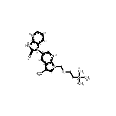 Cc1cn(COCC[Si](C)(C)C)c2ncc(-n3c(=O)[nH]c4ncccc43)cc12